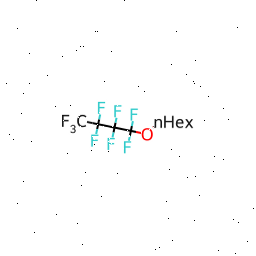 CCCCCCOC(F)(F)C(F)(F)C(F)(F)C(F)(F)F